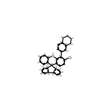 Clc1ccc2c(c1-c1ccc3c(c1)CCCC3)Oc1ccccc1C21c2ccccc2-c2ccccc21